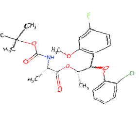 COc1cc(F)ccc1[C@@H](Oc1ccccc1Cl)[C@H](C)OC(=O)[C@H](C)NC(=O)OC(C)(C)C